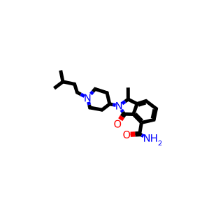 CC(C)CCN1CCC(N2C(=O)c3c(C(N)=O)cccc3C2C)CC1